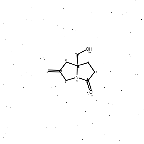 C=C1CN2C(=O)CC[C@@]2(CO)C1